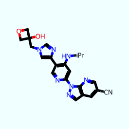 CC(C)Nc1cc(-n2ncc3cc(C#N)cnc32)ncc1-c1cn(CC2(O)COC2)cn1